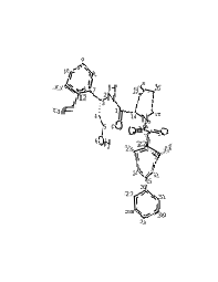 O=C(N[C@H](CCO)c1ccccc1F)C1SCCN1S(=O)(=O)c1ccc(-c2ccccc2)cc1